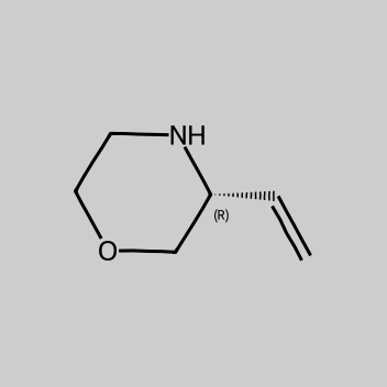 C=C[C@@H]1COCCN1